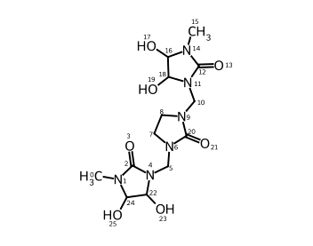 CN1C(=O)N(CN2CCN(CN3C(=O)N(C)C(O)C3O)C2=O)C(O)C1O